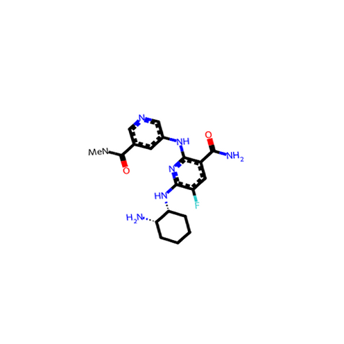 CNC(=O)c1cncc(Nc2nc(N[C@@H]3CCCC[C@@H]3N)c(F)cc2C(N)=O)c1